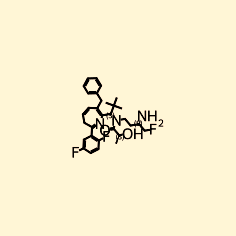 C[C@H](O)C(=O)N(CC[C@H](N)CF)[C@H](C1=C(Cc2ccccc2)C=CCC(c2cc(F)ccc2F)=N1)C(C)(C)C